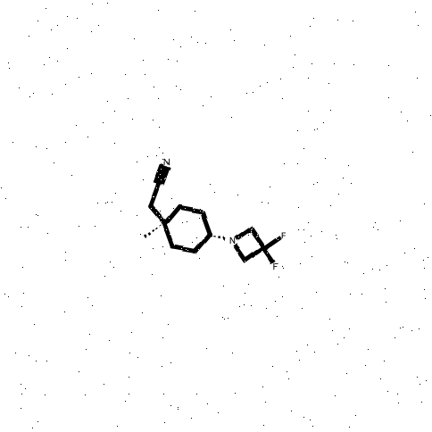 C[C@]1(CC#N)CC[C@H](N2CC(F)(F)C2)CC1